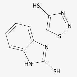 Sc1csnn1.Sc1nc2ccccc2[nH]1